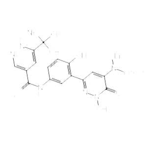 C=C(Nc1ccc(C)c(C2=NN(C)C(=C)C(N(CCC)CCCCC)=C2)c1)C(/C=C(\N)C(C)(C)C#N)=C/N